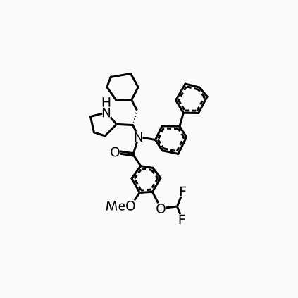 COc1cc(C(=O)N(c2cccc(-c3ccccc3)c2)[C@@H](CC2CCCCC2)C2CCCN2)ccc1OC(F)F